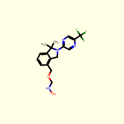 CC1(C)c2cccc(COCNO)c2CN1c1cnc(C(F)(F)F)cn1